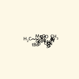 C=CCCCCC[C@H](NC(=O)OC(C)(C)C)C(=O)N1C[C@H](Oc2nc(-c3cc(C)on3)nc3ccsc23)C[C@H]1C(=O)OC